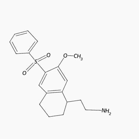 COc1cc2c(cc1S(=O)(=O)c1ccccc1)CCCC2CCN